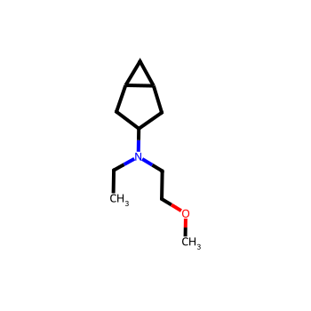 CCN(CCOC)C1CC2CC2C1